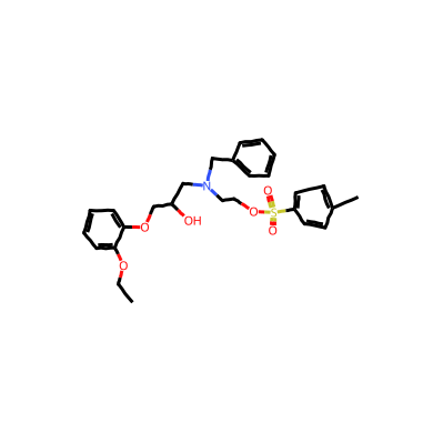 CCOc1ccccc1OCC(O)CN(CCOS(=O)(=O)c1ccc(C)cc1)Cc1ccccc1